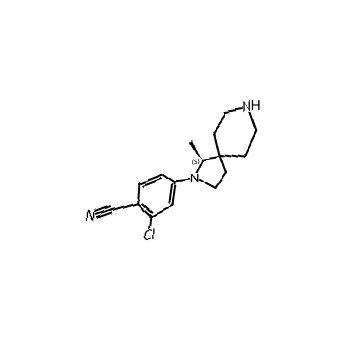 C[C@@H]1N(c2ccc(C#N)c(Cl)c2)CCC12CCNCC2